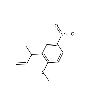 C=C[C](C)c1cc([N+](=O)[O-])ccc1SC